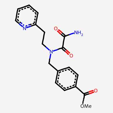 COC(=O)c1ccc(CN(CCc2ccccn2)C(=O)C(N)=O)cc1